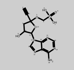 C#CC1(OCP(=O)(O)O)CC(O)C(n2cnc3c(N)ncnc32)O1